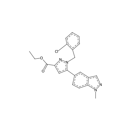 CCOC(=O)c1cc(-c2ccc3c(cnn3C)c2)n(Cc2ccccc2Cl)n1